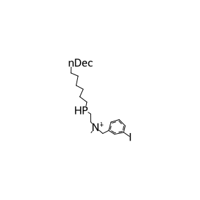 CCCCCCCCCCCCCCCCPCC[N+](C)(C)Cc1cccc(I)c1